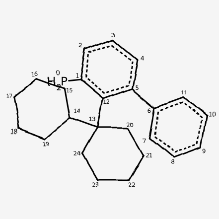 Pc1cccc(-c2ccccc2)c1C1(C2CCCCC2)CCCCC1